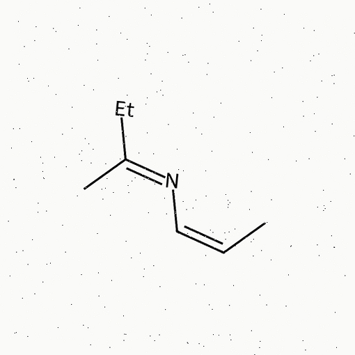 C/C=C\N=C(/C)CC